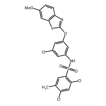 COc1ccc2nc(Oc3cc(Cl)cc(NS(=O)(=O)c4cc(C)c(Cl)cc4Cl)c3)sc2c1